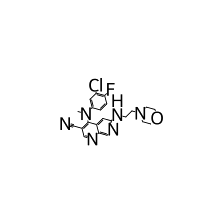 CN(c1ccc(F)c(Cl)c1)c1c(C#N)cnc2cnc(NCCN3CCOCC3)cc12